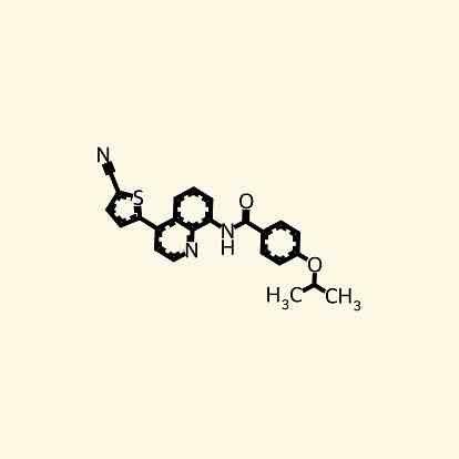 CC(C)Oc1ccc(C(=O)Nc2cccc3c(-c4ccc(C#N)s4)ccnc23)cc1